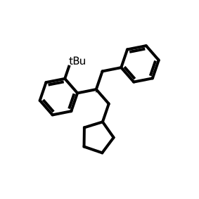 CC(C)(C)c1ccccc1[C](Cc1ccccc1)CC1CCCC1